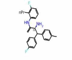 C=C(Nc1cccc(F)c1CCC)[C@@H](N)C(c1ccc(C)cc1)c1ccc(F)cc1